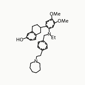 CCN(Cc1ccc(CCN2CCCCCC2)cc1)c1cc(OC)c(OC)cc1C1CCc2cc(O)ccc2C1